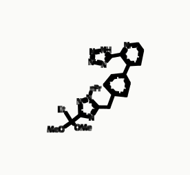 CCCn1nc(C(CC)(OC)OC)nc1Cc1ccc(-c2cccnc2-c2nnn[nH]2)cc1